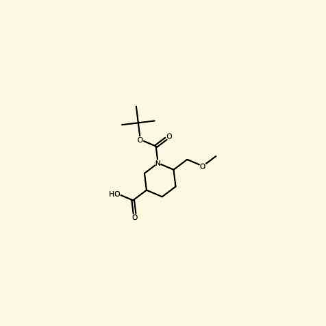 COCC1CCC(C(=O)O)CN1C(=O)OC(C)(C)C